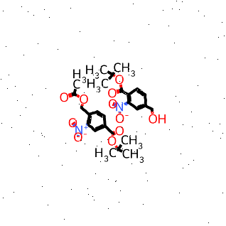 CC(=O)OCc1ccc(C(=O)OC(C)(C)C)cc1[N+](=O)[O-].CC(C)(C)OC(=O)c1ccc(CO)cc1[N+](=O)[O-]